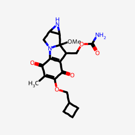 COC12C(COC(N)=O)C3=C(C(=O)C(C)=C(OCC4CCC4)C3=O)N1CC1NC12